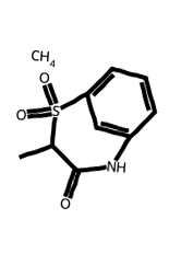 C.CC1C(=O)Nc2cccc(c2)S1(=O)=O